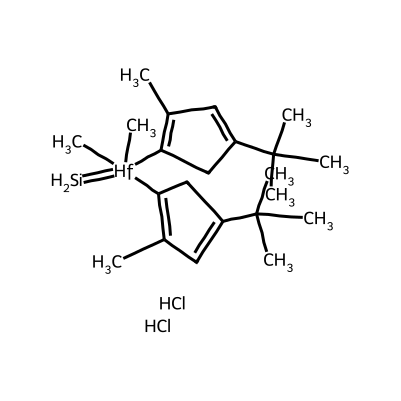 CC1=[C]([Hf]([CH3])([CH3])(=[SiH2])[C]2=C(C)C=C(C(C)(C)C)C2)CC(C(C)(C)C)=C1.Cl.Cl